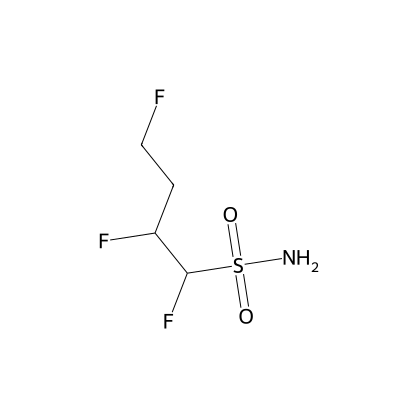 NS(=O)(=O)C(F)C(F)CCF